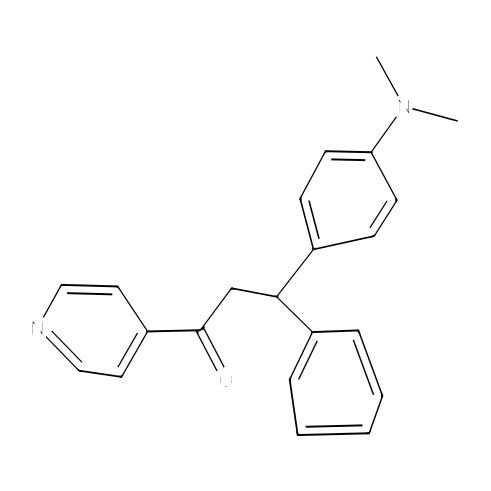 CN(C)c1ccc(C(CC(=O)c2ccncc2)c2ccccc2)cc1